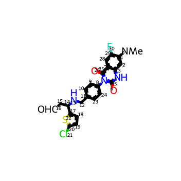 CNc1cc2[nH]c(=O)n(-c3ccc(CNC(CC=O)c4ccc(Cl)s4)cc3)c(=O)c2cc1F